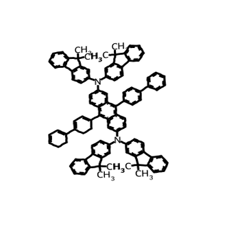 CC1(C)c2ccccc2-c2ccc(N(c3ccc4c(c3)C(C)(C)c3ccccc3-4)c3ccc4c(-c5ccc(-c6ccccc6)cc5)c5cc(N(c6ccc7c(c6)C(C)(C)c6ccccc6-7)c6ccc7c(c6)C(C)(C)c6ccccc6-7)ccc5c(C5=CC=C(C6=CC=CCC6)CC5)c4c3)cc21